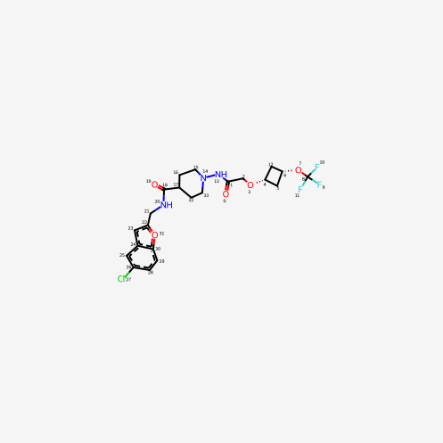 O=C(CO[C@H]1C[C@@H](OC(F)(F)F)C1)NN1CCC(C(=O)NCc2cc3cc(Cl)ccc3o2)CC1